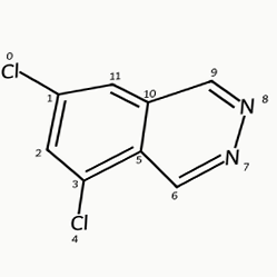 Clc1cc(Cl)c2cnncc2c1